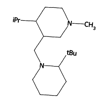 CC(C)C1CCN(C)CC1CN1CCCCC1C(C)(C)C